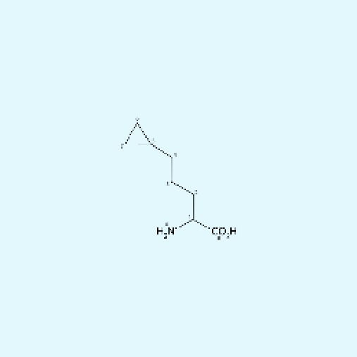 NC(CCCC1CC1)C(=O)O